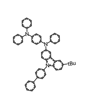 CC(C)(C)c1ccc2c(c1)c1cc(N(c3ccccc3)c3ccc(N(c4ccccc4)c4ccccc4)cc3)ccc1n2-c1ccc(-c2ccccc2)cc1